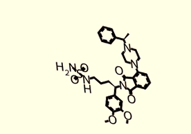 COc1ccc([C@@H](CCCNS(N)(=O)=O)N2C(=O)c3cccc(N4CCN([C@H](C)c5ccccc5)CC4)c3C2=O)cc1OC